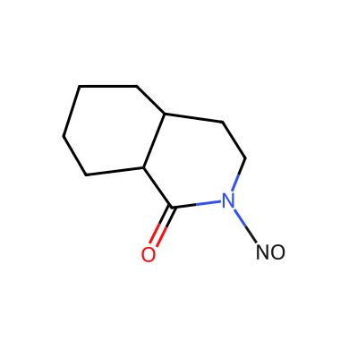 O=NN1CCC2CCCCC2C1=O